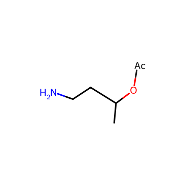 CC(=O)OC(C)CCN